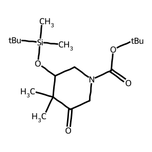 CC(C)(C)OC(=O)N1CC(=O)C(C)(C)C(O[Si](C)(C)C(C)(C)C)C1